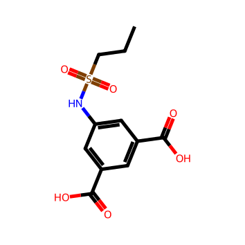 CCCS(=O)(=O)Nc1cc(C(=O)O)cc(C(=O)O)c1